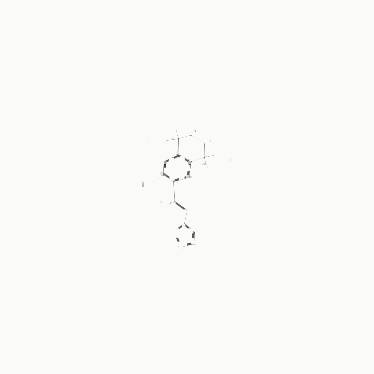 CC(=Cc1ccno1)c1cc2c(cc1C(C)C)C(C)(C)CCC2(C)C